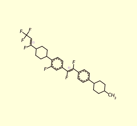 CC1CCC(c2ccc(/C(F)=C(\F)c3ccc(C4CCC(/C(F)=C/C(F)(F)F)CC4)c(F)c3)cc2)CC1